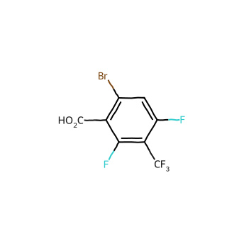 O=C(O)c1c(Br)cc(F)c(C(F)(F)F)c1F